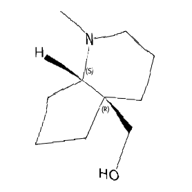 CN1CCC[C@]2(CO)CCC[C@H]12